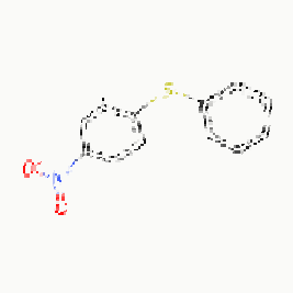 O=[N+]([O-])c1c[c]c(Sc2ccccc2)cc1